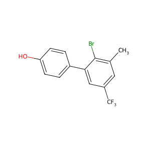 Cc1cc(C(F)(F)F)cc(-c2ccc(O)cc2)c1Br